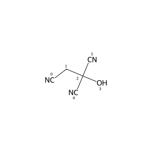 N#CCC(O)(C#N)C#N